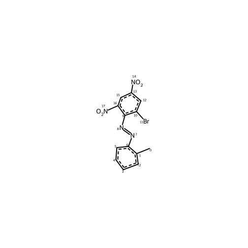 Cc1[c]cccc1N=Nc1c(Br)cc([N+](=O)[O-])cc1[N+](=O)[O-]